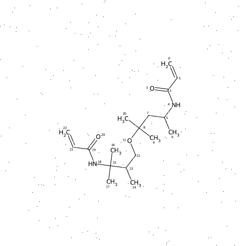 C=CC(=O)NC(C)CC(C)(C)OCC(C)C(C)(C)NC(=O)C=C